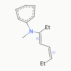 CC/C=C\C=C(/CC)N(C)c1ccccc1